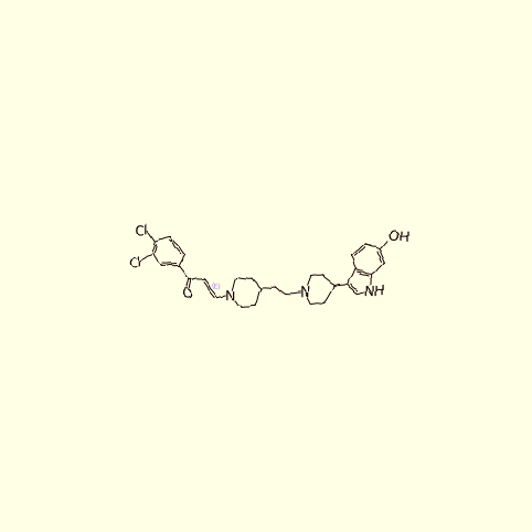 O=C(/C=C/N1CCC(CCN2CCC(c3c[nH]c4cc(O)ccc34)CC2)CC1)c1ccc(Cl)c(Cl)c1